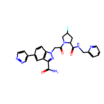 NC(=O)c1nn(CC(=O)N2CC(F)CC2C(=O)NCc2ccccn2)c2ccc(-c3ccnnc3)cc12